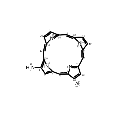 Nc1cc2cc3nc(cc4ccc(cc5nc(cc1[nH]2)C=C5)[nH]4)C=C3.[Al]